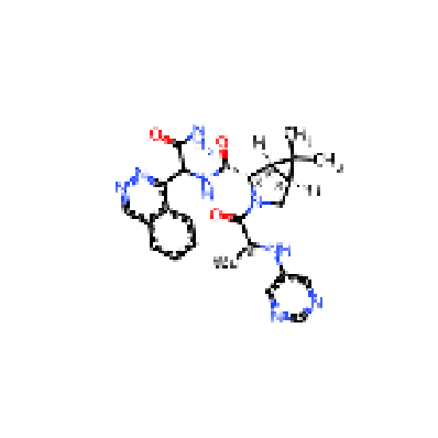 CC(C)(C)[C@H](Nc1cncnc1)C(=O)N1C[C@H]2[C@@H]([C@H]1C(=O)NC(C(N)=O)c1nncc3ccccc13)C2(C)C